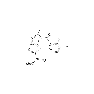 COC(=O)c1ccc2sc(C)c(C(=O)c3cccc(Cl)c3Cl)c2c1